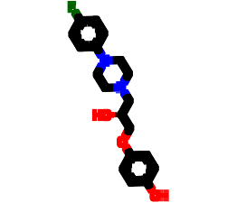 Oc1ccc(OC[C@H](O)CN2CCN(c3ccc(F)cc3)CC2)cc1